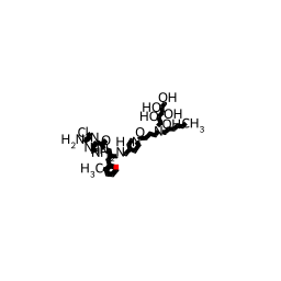 CCCCCCN(CCCC(=O)N1CCC(CNCC(CNC(=O)c2nc(Cl)c(N)nc2N)Cc2ccccc2C)CC1)CC(O)C(O)C(O)C(O)CO